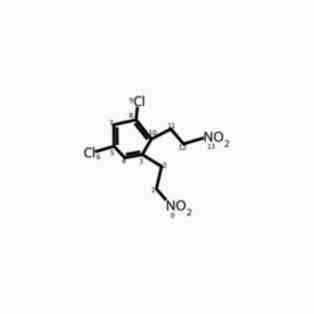 O=[N+]([O-])CCc1cc(Cl)cc(Cl)c1CC[N+](=O)[O-]